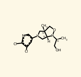 C[C@@H](CO)N1OC[C@@]2(C)CN(c3cnc(Cl)c(Cl)c3)C[C@@H]12